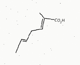 C/C=C/C/C=C(\C)C(=O)O